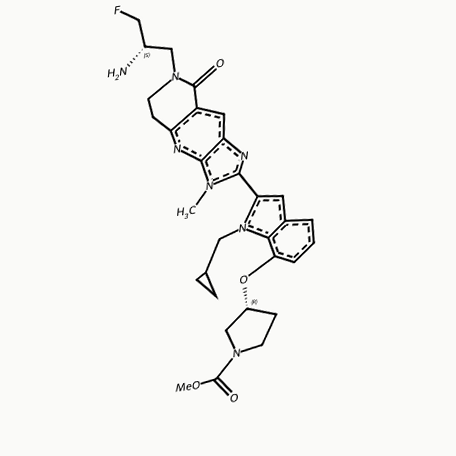 COC(=O)N1CC[C@@H](Oc2cccc3cc(-c4nc5cc6c(nc5n4C)CCN(C[C@H](N)CF)C6=O)n(CC4CC4)c23)C1